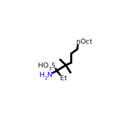 CCCCCCCCCCCC(C)(C)C(N)(CC)S(=O)(=O)O